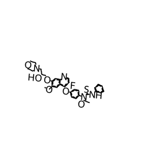 COc1cc2c(Oc3ccc(N(C(C)=O)C(=S)Nc4ccccc4)cc3F)ccnc2cc1OCC(O)CN1CCOCC1